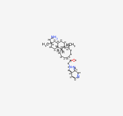 C[C@H]1CC[C@H](C(=O)Cn2cc3ccncc3n2)CCC[C@H]2[C@H]1CCC1C[C@](C)(CN)CC[C@@H]12